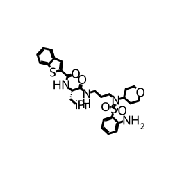 CC(C)C[C@H](NC(=O)c1cc2ccccc2s1)C(=O)NCCCN(C1CCOCC1)S(=O)(=O)c1ccccc1N